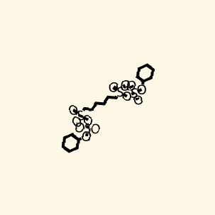 O=S(=O)(CCCCCCS(=O)(=O)OS(=O)(=O)OC1CCCCC1)OS(=O)(=O)OC1CCCCC1